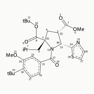 COC(=O)[C@H]1C[C@@](CC(C)C)(C(=O)OC(C)(C)C)N(C(=O)c2ccc(C(C)(C)C)c(OC)c2)[C@H]1c1nccs1